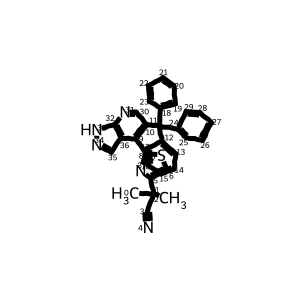 CC(C)(C#N)c1csc(-c2c(C(c3ccccc3)(c3ccccc3)c3ccccc3)cnc3[nH]ncc23)n1